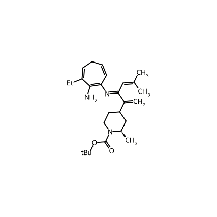 C=C(/C(C=C(C)C)=N/C1=C(N)C(CC)=CCC=C1)C1CCN(C(=O)OC(C)(C)C)[C@H](C)C1